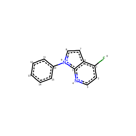 Fc1ccnc2c1ccn2-c1ccccc1